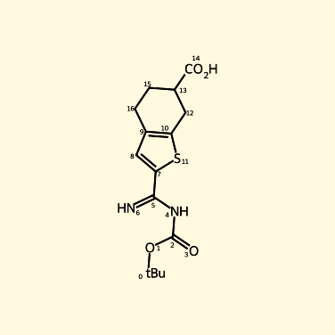 CC(C)(C)OC(=O)NC(=N)c1cc2c(s1)CC(C(=O)O)CC2